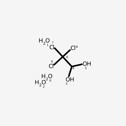 O.O.O.OC(O)C(Cl)(Cl)Cl